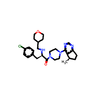 C[C@@H]1CCc2ncnc(N3CCN(C(=O)[C@@H](Cc4ccc(Cl)cc4)NCC4CCOCC4)CC3)c21